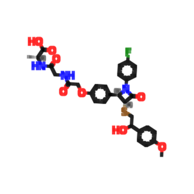 COc1ccc(C(O)CS[C@H]2C(=O)N(c3ccc(F)cc3)[C@@H]2c2ccc(OCC(=O)NCC(=O)N[C@H](C)C(=O)O)cc2)cc1